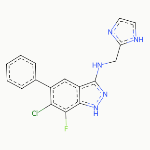 Fc1c(Cl)c(-c2ccccc2)cc2c(NCc3ncc[nH]3)n[nH]c12